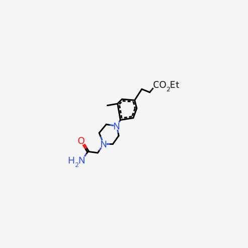 CCOC(=O)CCc1ccc(N2CCN(CC(N)=O)CC2)c(C)c1